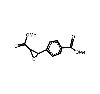 COC(=O)c1ccc(C2OC2C(=O)OC)cc1